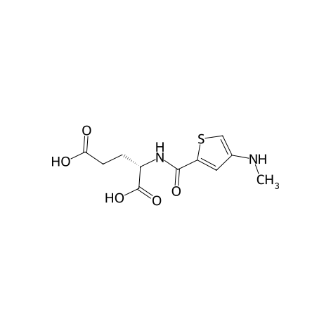 CNc1csc(C(=O)N[C@@H](CCC(=O)O)C(=O)O)c1